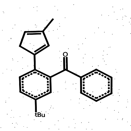 CC1=CCC(c2ccc(C(C)(C)C)cc2C(=O)c2ccccc2)=C1